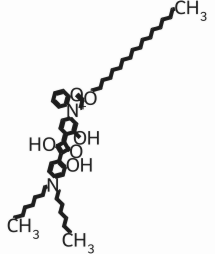 CCCCCCCCCCCCCCCCCCOC(=O)C/[N+](=C1C=C/C(=C2/C(=O)C(c3ccc(N(CCCCCCCC)CCCCCCCC)cc3O)=C2O)C(O)=C/1)c1ccccc1